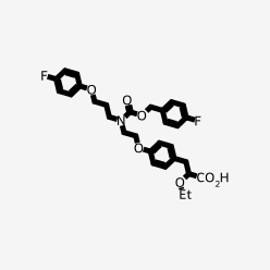 CCOC(Cc1ccc(OCCN(CCCOc2ccc(F)cc2)C(=O)OCc2ccc(F)cc2)cc1)C(=O)O